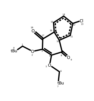 CC(C)(C)COC1=C(OCC(C)(C)C)C(=O)c2cc(Cl)ccc2C1=O